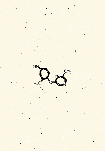 Cc1cncc(Oc2ccc([NH])cc2C)n1